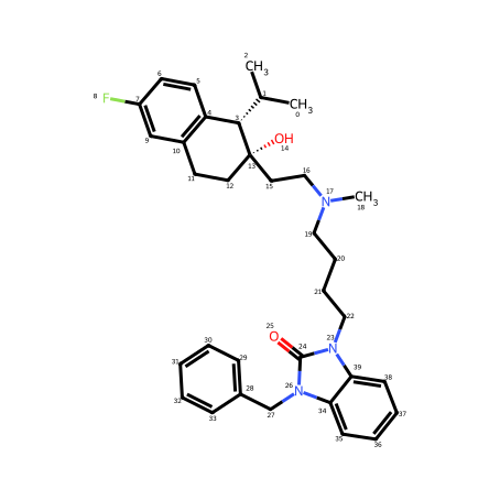 CC(C)[C@H]1c2ccc(F)cc2CC[C@]1(O)CCN(C)CCCCn1c(=O)n(Cc2ccccc2)c2ccccc21